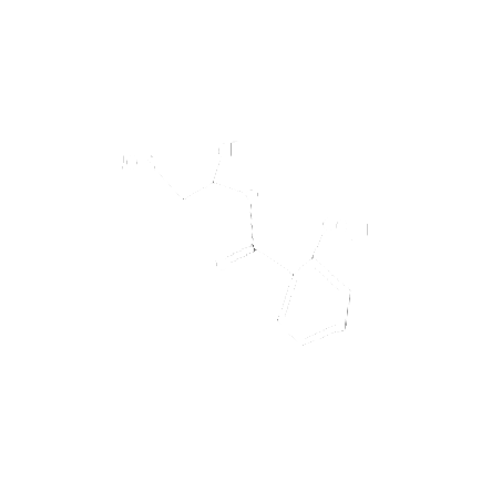 O=C(O)c1ccccc1C(=O)OC(CS(=O)(=O)O)C(F)(F)F